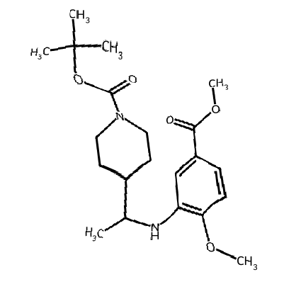 COC(=O)c1ccc(OC)c(NC(C)C2CCN(C(=O)OC(C)(C)C)CC2)c1